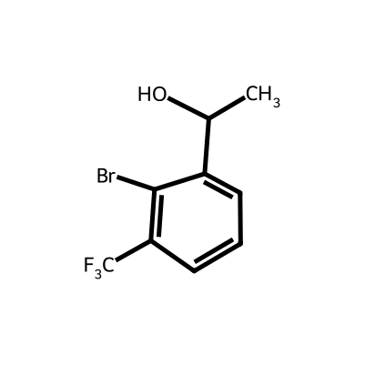 CC(O)c1cccc(C(F)(F)F)c1Br